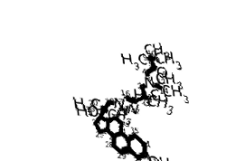 CC(CN(CC(=O)C(C)(C)C)C(C)(C)C)c1cn(CC(C)(C)C2(O)CCC3C4CC=C5CC(O)CCC5C4CCC32)nn1